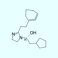 O[C@H](CC1CCCC1)N1CCN=C1CCC1=C=CCCC1